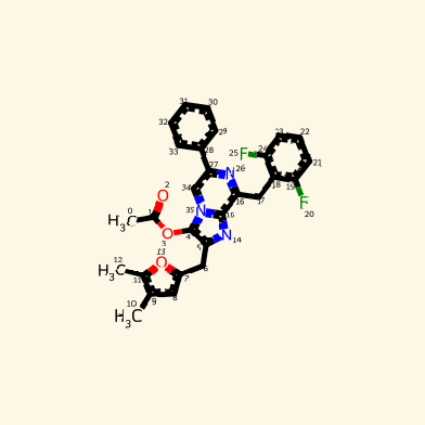 CC(=O)Oc1c(Cc2cc(C)c(C)o2)nc2c(Cc3c(F)cccc3F)nc(-c3ccccc3)cn12